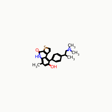 Cc1cc(O)c(-c2ccc(C(C)CN(C)C)cc2)c2c1[nH]c(=O)c1sccc12